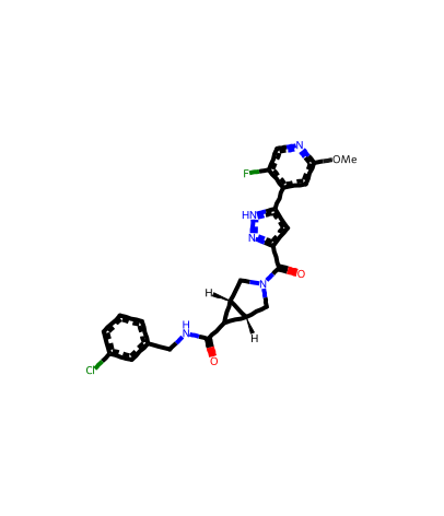 COc1cc(-c2cc(C(=O)N3C[C@@H]4C(C(=O)NCc5cccc(Cl)c5)[C@@H]4C3)n[nH]2)c(F)cn1